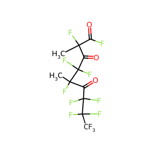 CC(F)(C(=O)F)C(=O)C(F)(F)C(C)(F)C(=O)C(F)(F)C(F)(F)C(F)(F)F